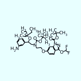 CC[Si](CC)(CC)OC(CN(CCOc1ccc2c(OC(F)F)nn(C(=O)OC(C)(C)C)c2c1)C(=O)OC(C)(C)C)c1cccc(N)c1